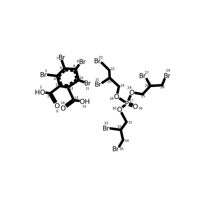 O=C(O)c1c(Br)c(Br)c(Br)c(Br)c1C(=O)O.O=P(OCC(Br)CBr)(OCC(Br)CBr)OCC(Br)CBr